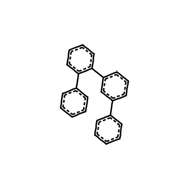 [c]1ccc(-c2ccccc2)cc1-c1ccccc1-c1ccccc1